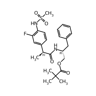 C[C@H](C(=O)N[C@@H](COC(=O)C(C)(C)C)Cc1ccccc1)c1ccc(NS(C)(=O)=O)c(F)c1